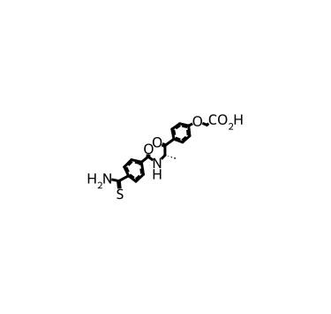 C[C@H](NC(=O)c1ccc(C(N)=S)cc1)C(=O)c1ccc(OCC(=O)O)cc1